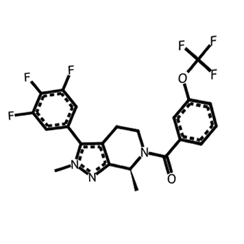 C[C@H]1c2nn(C)c(-c3cc(F)c(F)c(F)c3)c2CCN1C(=O)c1cccc(OC(F)(F)F)c1